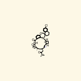 C[C@@H]1[C@@H](C)C[C@H](CC(=O)N(C)C)/C=C/[C@@H]2CC[C@H]2CN2C[C@@]3(CCCc4cc(Cl)ccc43)COc3ccc(cc32)C(=O)NS1(=O)=O